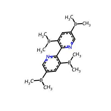 CB(C)c1cnc(-c2ncc(B(C)C)cc2B(C)C)c(B(C)C)c1